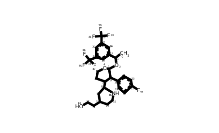 CC(OC1OCCC(C2CC(CCO)CCN2)C1c1ccc(F)cc1)c1cc(C(F)(F)F)cc(C(F)(F)F)c1